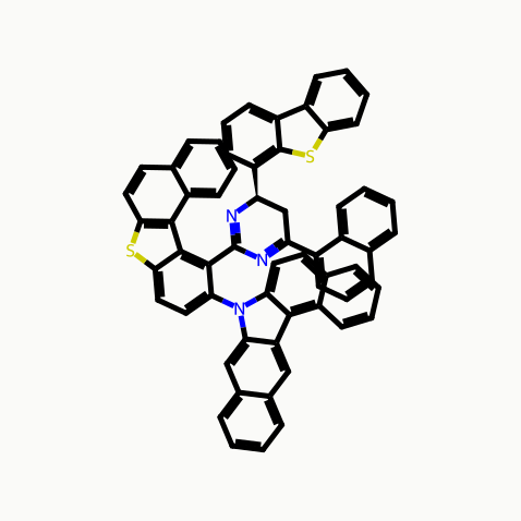 c1ccc2cc3c(cc2c1)c1c2ccccc2ccc1n3-c1ccc2sc3ccc4ccccc4c3c2c1C1=N[C@@H](c2cccc3c2sc2ccccc23)CC(c2cccc3ccccc23)=N1